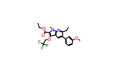 CCOC(=O)c1c(OCC(F)(F)F)c2cc(-c3cccc(OC)c3)c(CC)nc2n1C